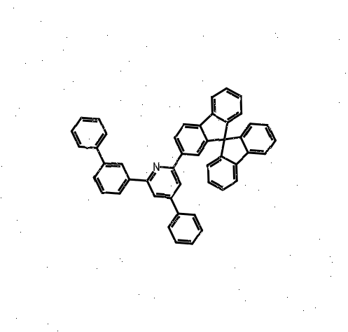 c1ccc(-c2cccc(-c3cc(-c4ccccc4)cc(-c4ccc5c(c4)C4(c6ccccc6-c6ccccc64)c4ccccc4-5)n3)c2)cc1